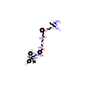 CCc1nc(N)nc(N)c1OCCCOc1ccccc1CCC(=O)NCCOCCNC(=O)c1ccc(NC(=O)C2N[C@@H](CC(C)(C)C)[C@](C#N)(c3ccc(Cl)cc3F)[C@H]2c2cccc(Cl)c2F)c(OC)c1